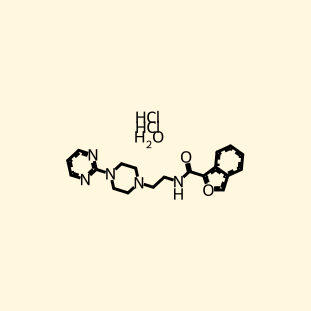 Cl.Cl.O.O=C(NCCN1CCN(c2ncccn2)CC1)c1occ2ccccc12